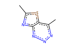 Cc1nc2nnnc(C)c2s1